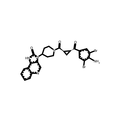 Nc1c(Br)cc(C(=O)[C@@H]2C[C@H]2C(=O)N2CCC(n3c(=O)[nH]c4c5ccccc5ncc43)CC2)cc1Br